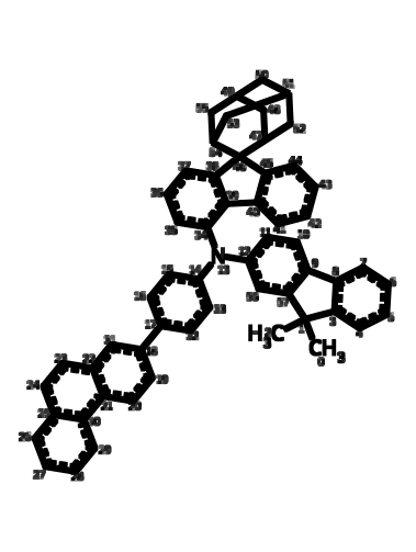 CC1(C)c2ccccc2-c2ccc(N(c3ccc(-c4ccc5c(ccc6ccccc65)c4)cc3)c3cccc4c3-c3ccccc3C43C4CC5CC(C4)CC3C5)cc21